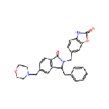 O=C1c2ccc(CN3CCOCC3)cc2C(Cc2ccccc2)N1Cc1ccc2[nH]c(=O)oc2c1